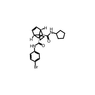 O=C(NC1CCCC1)[C@H]1[C@H](C(=O)Nc2ccc(Br)cc2)[C@@H]2C=C[C@H]1C21CC1